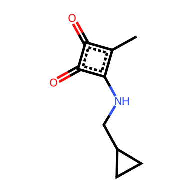 Cc1c(NCC2CC2)c(=O)c1=O